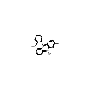 COc1ccccc1N1c2ncccc2[S+]([O-])c2cc(C)cnc21